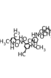 C#Cc1cc(C(=O)NCc2c(C)cc(C)[nH]c2=O)c(C)c(N(CC)C2CCC(NC(=O)OC(C)(C)C)CC2)c1